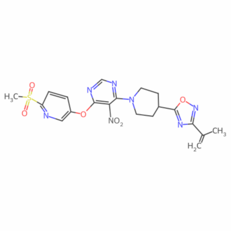 C=C(C)c1noc(C2CCN(c3ncnc(Oc4ccc(S(C)(=O)=O)nc4)c3[N+](=O)[O-])CC2)n1